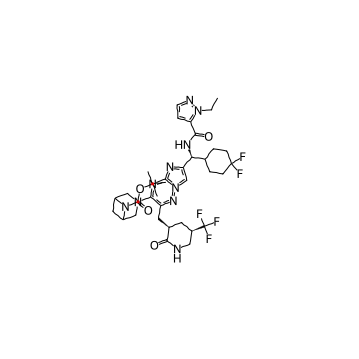 CCn1nccc1C(=O)N[C@H](c1cn2nc(C[C@H]3C[C@@H](C(F)(F)F)CNC3=O)c(N3CC4CC(C3)N4C(=O)OC(C)(C)C)nc2n1)C1CCC(F)(F)CC1